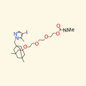 CNC(=O)OCCOCCOCCOC12CC3(C)CC(C)(CC(Cn4ncc(I)c4C)(C3)C1)C2